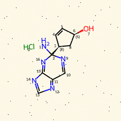 Cl.NC1([C@H]2C=C[C@@H](O)C2)N=CC2=NC=NC2=N1